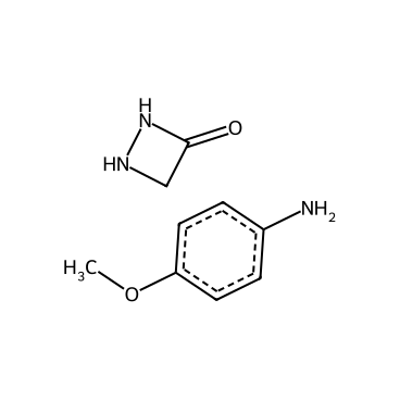 COc1ccc(N)cc1.O=C1CNN1